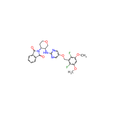 COc1cc(OC)c(F)c(COc2cnc(N[C@@H]3COCC[C@@H]3N3C(=O)c4ccccc4C3=O)nc2)c1F